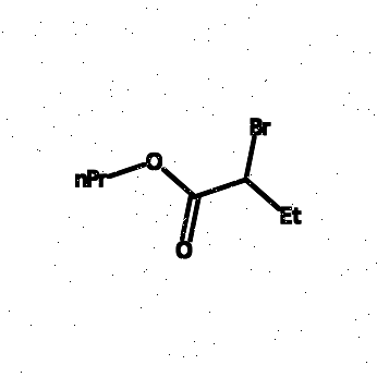 CCCOC(=O)C(Br)CC